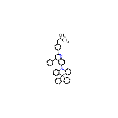 CC(C)Cc1ccc(-c2cc(-c3ccccc3)c3cc(N4c5ccccc5C(c5ccccc5)(c5ccccc5)c5ccccc54)ccc3n2)cc1